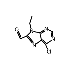 CCn1c(C=O)nc2c(Cl)ncnc21